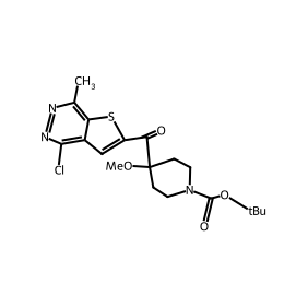 COC1(C(=O)c2cc3c(Cl)nnc(C)c3s2)CCN(C(=O)OC(C)(C)C)CC1